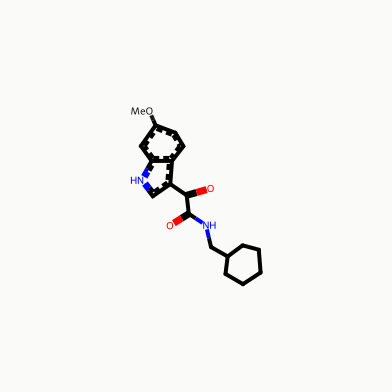 COc1ccc2c(C(=O)C(=O)NCC3CCCCC3)c[nH]c2c1